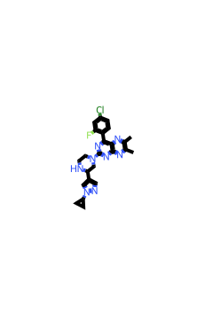 Cc1nc2nc(N3CCNC(c4cnn(C5CC5)c4)C3)nc(-c3ccc(Cl)cc3F)c2nc1C